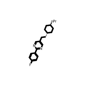 CCC[C@H]1CC[C@H](CCc2cnc(-c3ccc(F)cc3)nc2)CC1